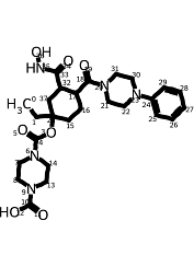 CCC1(OC(=O)N2CCN(C(=O)O)CC2)CCC(C(=O)N2CCN(c3ccccc3)CC2)C(C(=O)NO)C1